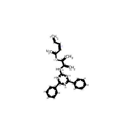 C=C/C=C\C(=C)OC(=C)C(=C)Nc1nc(-c2ccccc2)nc(-c2ccccc2)n1